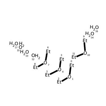 CCOCC.CCOCC.CCOCC.CCOCC.O.O.O.O.O.O